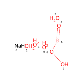 O.O.O.O.O=BOO.[NaH]